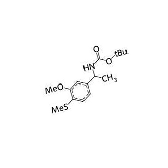 COc1cc(C(C)NC(=O)OC(C)(C)C)ccc1SC